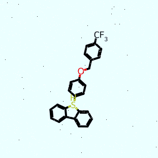 FC(F)(F)c1ccc(COc2ccc([SH]3c4ccccc4-c4ccccc43)cc2)cc1